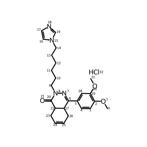 COc1ccc(C2=NN(CCCCCCn3ccnc3)C(=O)C3CC=CCC23)cc1OC.Cl